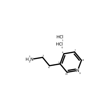 Cl.Cl.NCCc1cccnc1